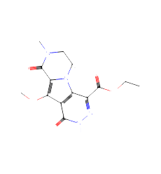 CCOC(=O)c1n[nH]c(=O)c2c(OC)c3n(c12)[C@@H](C)CN(C)C3=O